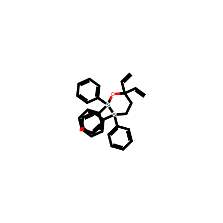 C=CC1(C=C)CC[Si](c2ccccc2)(c2ccccc2)[Si](c2ccccc2)(c2ccccc2)O1